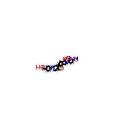 O=C1CC[C@H](N2Cc3c(ccc4c3OCC43CCN(C4CCC(CO)CC4)CC3)C2=O)C(=O)N1